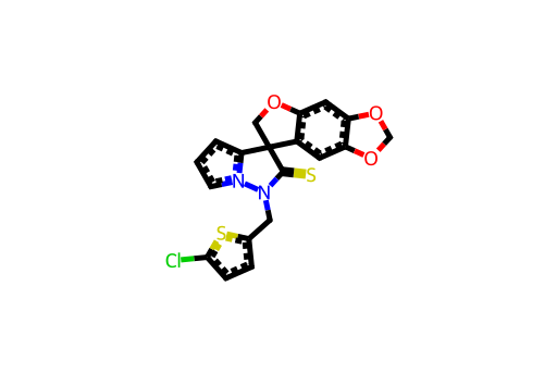 S=C1N(Cc2ccc(Cl)s2)n2cccc2C12COc1cc3c(cc12)OCO3